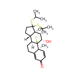 CC(C)SC1(SC(C)C)CC[C@H]2[C@@H]3CCC4=CC(=O)C=C[C@]4(C)[C@@]3(F)[C@@H](O)C[C@@]21C